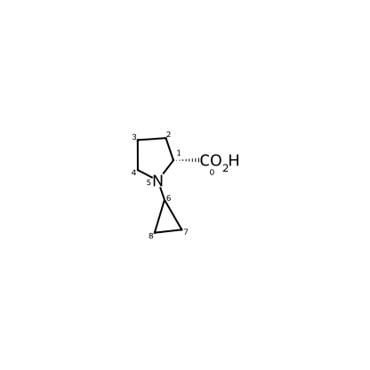 O=C(O)[C@H]1CCCN1C1CC1